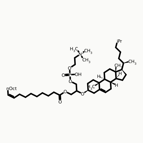 CCCCCCCC/C=C\CCCCCCCC(=O)OCC(COP(=O)(O)OCC[N+](C)(C)C)O[C@H]1CC[C@@]2(C)C(=CC[C@H]3[C@@H]4CC[C@H]([C@H](C)CCCC(C)C)[C@@]4(C)CC[C@@H]32)C1